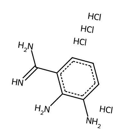 Cl.Cl.Cl.Cl.N=C(N)c1cccc(N)c1N